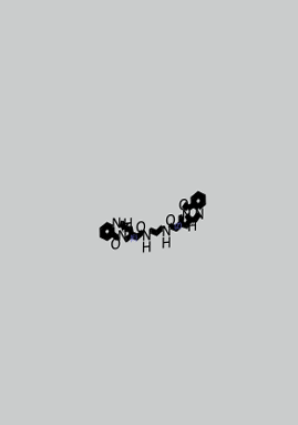 O=C(/C=C1/C[C@@H]2C=Nc3ccccc3C(=O)N2C1)NCCCNC(=O)/C=C1\C[C@H]2C=Nc3ccccc3C(=O)N2C1